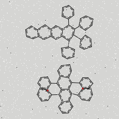 c1ccc(-c2c(-c3ccccc3)c(-c3ccccc3)c3cc4cc5ccccc5cc4cc3c2-c2ccccc2)cc1.c1ccc(-c2c3ccccc3c(-c3ccccc3)c3c(-c4ccccc4)c4ccccc4c(-c4ccccc4)c23)cc1